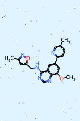 COc1cc(-c2ccc(C)cn2)cc2c(NCc3cc(C)no3)ncnc12